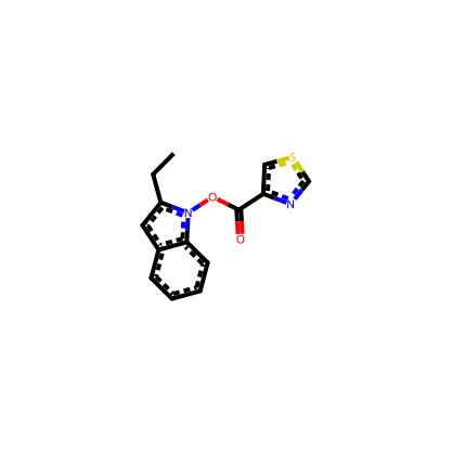 CCc1cc2ccccc2n1OC(=O)c1cscn1